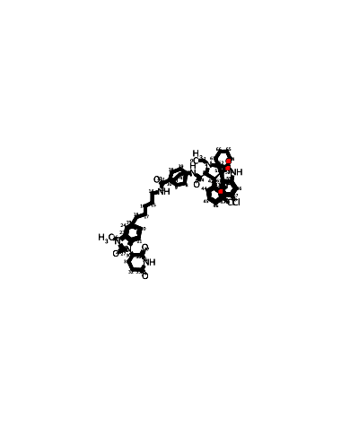 CCN1[C@@H](C(=O)NC23CCC(C(=O)NCCCCCc4ccc5c(c4)n(C)c(=O)n5C4CCC(=O)NC4=O)(CC2)CC3)C(c2cccc(Cl)c2F)[C@]2(C(=O)Nc3cc(Cl)ccc32)C12CCCCC2